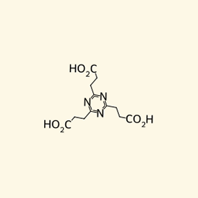 O=C(O)CCc1nc(CCC(=O)O)nc(CCC(=O)O)n1